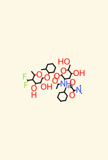 CC(=O)NC1C(OC2CCCC(C)C2OC2OC(C)C(C(F)F)C(O)C2O)OC(CO)C(O)C1O[C@@H](CC1CCCCC1)C(=O)N(C)C